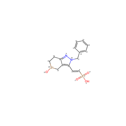 O=S(=O)(O)/C=C/c1c2c(nn1Cc1ccccc1)CC[S+]([O-])C2